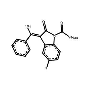 CCCCCCCCCC(=O)N1C(=O)/C(=C(\O)c2ccccc2)c2cc(F)ccc21